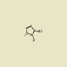 CCC1C=CON1C